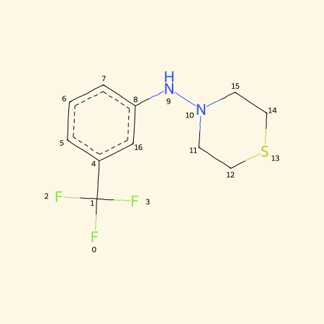 FC(F)(F)c1cccc(NN2CCSCC2)c1